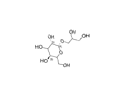 OCC(O)CO[C@@H]1OC(CO)[C@@H](O)C(O)[C@@H]1O